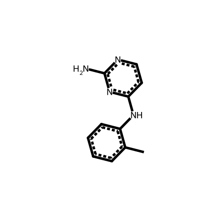 Cc1ccccc1Nc1ccnc(N)n1